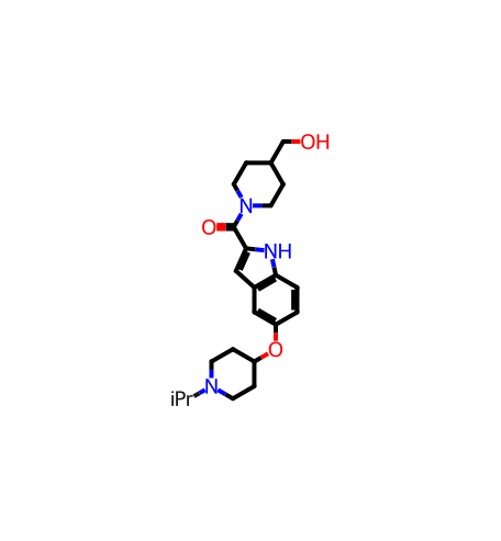 CC(C)N1CCC(Oc2ccc3[nH]c(C(=O)N4CCC(CO)CC4)cc3c2)CC1